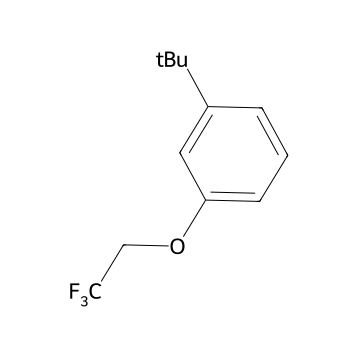 CC(C)(C)c1cccc(OCC(F)(F)F)c1